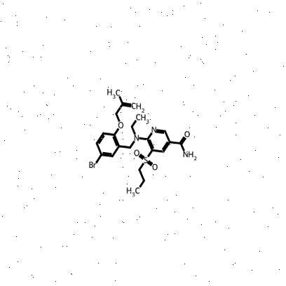 C=C(C)COc1ccc(Br)cc1CN(CC)c1ncc(C(N)=O)cc1S(=O)(=O)CCC